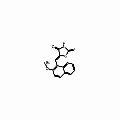 CCCCOc1ccc2ccccc2c1C=C1SC(=S)NC1=O